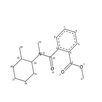 COC(=O)c1ccccc1C(=O)N(C)C1CCCCC1C